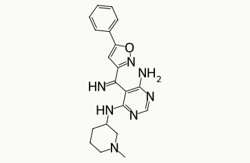 CN1CCCC(Nc2ncnc(N)c2C(=N)c2cc(-c3ccccc3)on2)C1